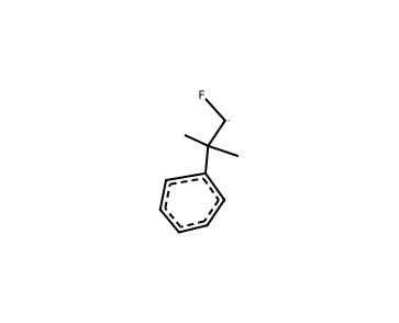 CC(C)([CH]F)c1ccccc1